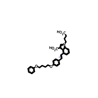 O=C(O)CCCn1cc(C(=O)O)c2c(/C=C/c3ccc(OCCCCOc4ccccc4)cc3)cccc21